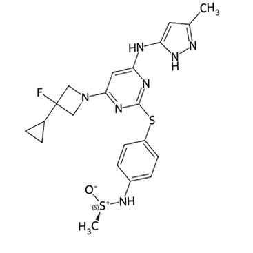 Cc1cc(Nc2cc(N3CC(F)(C4CC4)C3)nc(Sc3ccc(N[S@@+](C)[O-])cc3)n2)[nH]n1